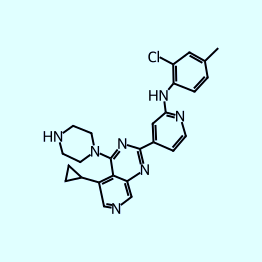 Cc1ccc(Nc2cc(-c3nc(N4CCNCC4)c4c(C5CC5)cncc4n3)ccn2)c(Cl)c1